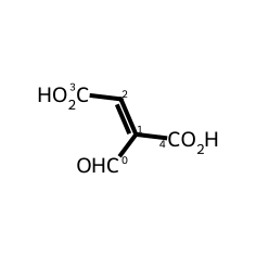 O=C/C(=C\C(=O)O)C(=O)O